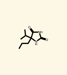 CCCC1(C(C)C)NC(=O)NC1=O